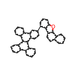 c1ccc2c(c1)ccc1c2oc2cccc(-c3ccc4c(c3)c3ccccc3c3c5ccccc5c5ccccc5c43)c21